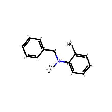 N#Cc1ccccc1N(Cc1ccccc1)C(F)(F)F